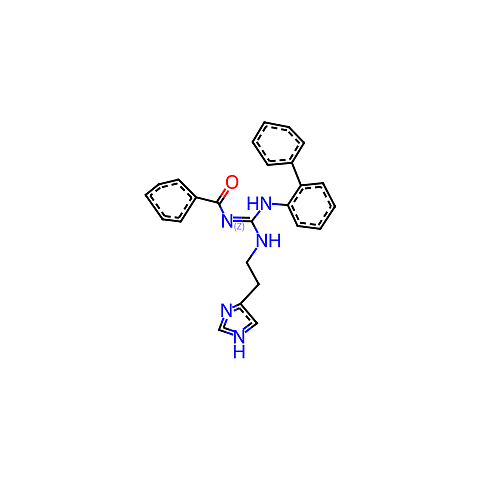 O=C(/N=C(/NCCc1c[nH]cn1)Nc1ccccc1-c1ccccc1)c1ccccc1